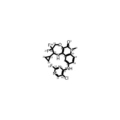 Cn1c(=O)c2c(c3cc(Nc4nc(F)ncc4Cl)ccc31)NC(C1CC1)C(F)(F)CO2